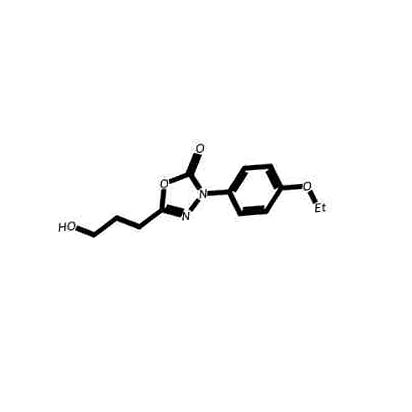 CCOc1ccc(-n2nc(CCCO)oc2=O)cc1